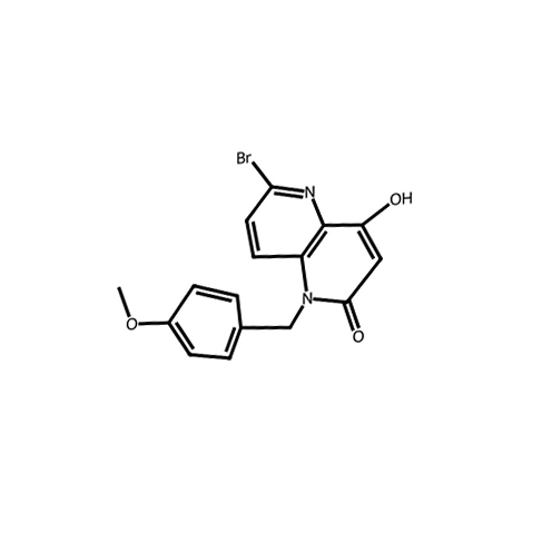 COc1ccc(Cn2c(=O)cc(O)c3nc(Br)ccc32)cc1